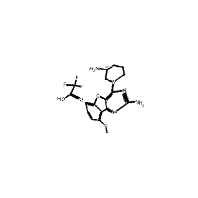 COc1cccc2oc3c(N4CCC[C@H](N)C4)nc(N)nc3c12.O=C(O)C(F)(F)F